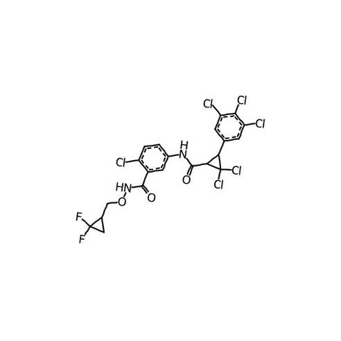 O=C(NOCC1CC1(F)F)c1cc(NC(=O)C2C(c3cc(Cl)c(Cl)c(Cl)c3)C2(Cl)Cl)ccc1Cl